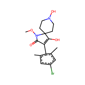 CON1C(=O)C(c2c(C)cc(Br)cc2C)=C(O)C12CCN(O)CC2